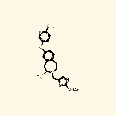 CC(=O)Nc1ncc(CN2CCc3ccc(Oc4ccc(C)nc4)cc3C[C@@H]2C)s1